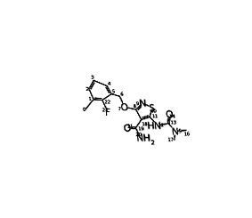 Cc1cccc(COc2nsc(NC(=O)N(C)C)c2C(N)=O)c1F